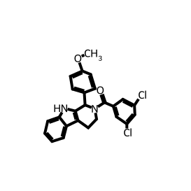 COc1ccc(C2c3[nH]c4ccccc4c3CCN2C(=O)c2cc(Cl)cc(Cl)c2)cc1